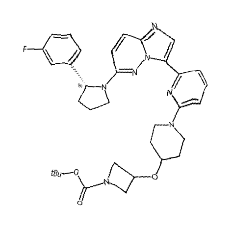 CC(C)(C)OC(=O)N1CC(OC2CCN(c3cccc(-c4cnc5ccc(N6CCC[C@@H]6c6cccc(F)c6)nn45)n3)CC2)C1